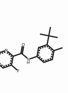 Cc1ccc(NC(=O)c2ncccc2F)cc1C(C)(C)C